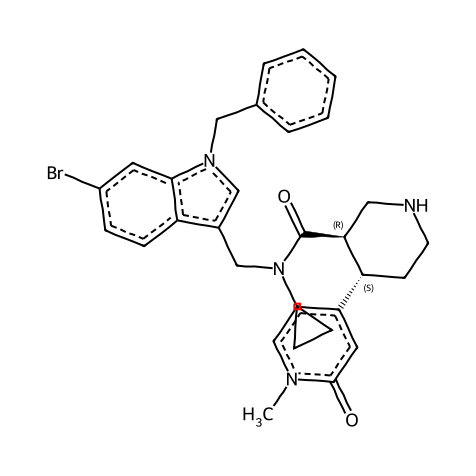 Cn1ccc([C@H]2CCNC[C@@H]2C(=O)N(Cc2cn(Cc3ccccc3)c3cc(Br)ccc23)C2CC2)cc1=O